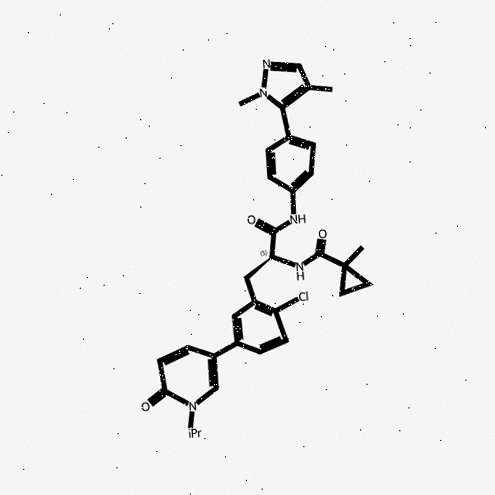 Cc1cnn(C)c1-c1ccc(NC(=O)[C@H](Cc2cc(-c3ccc(=O)n(C(C)C)c3)ccc2Cl)NC(=O)C2(C)CC2)cc1